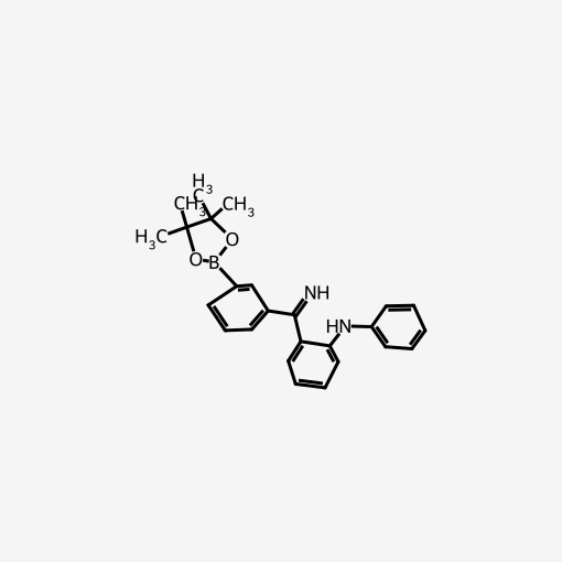 CC1(C)OB(c2cccc(C(=N)c3ccccc3Nc3ccccc3)c2)OC1(C)C